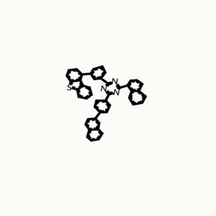 c1cc(-c2nc(-c3ccc(-c4ccc5ccccc5c4)cc3)nc(-c3cccc4ccccc34)n2)cc(-c2cccc3sc4ccccc4c23)c1